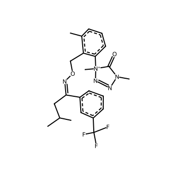 Cc1cccc([N+]2(C)N=NN(C)C2=O)c1CON=C(CC(C)C)c1cccc(C(F)(F)F)c1